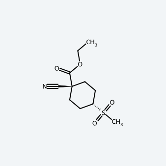 CCOC(=O)[C@]1(C#N)CC[C@H](S(C)(=O)=O)CC1